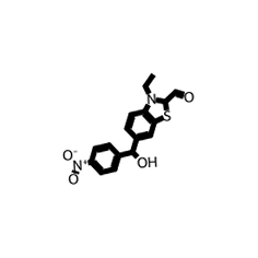 CCN1c2ccc(C(O)c3ccc([N+](=O)[O-])cc3)cc2SC1C=O